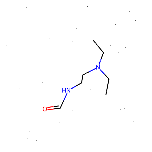 CCN(CC)CCNC=O